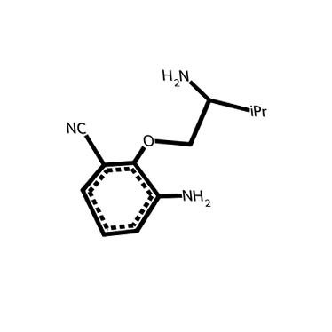 CC(C)C(N)COc1c(N)cccc1C#N